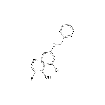 Oc1c(F)ccc2cc(OCc3ccccc3)cc(Br)c12